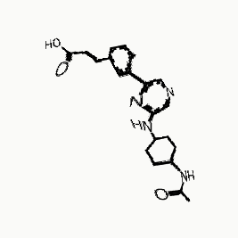 CC(=O)NC1CCC(Nc2cncc(-c3cccc(C=CC(=O)O)c3)n2)CC1